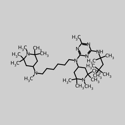 Cc1nc(NC(C)(C)CC(C)(C)C)nc(N(CCCCCCN(C)C2CC(C)(C)N(C)C(C)(C)C2)C2CC(C)(C)N(C)C(C)(C)C2)n1